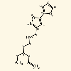 C=CCC(CC)CCNCc1cc(-c2ccco2)on1